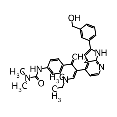 C=C(/C(=C\N(C)CC)c1ccnc2[nH]c(-c3cccc(CO)c3)cc12)c1ccc(NC(=O)N(C)C)cc1